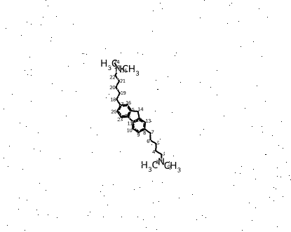 CN(C)CCCCCc1ccc2c(c1)Cc1cc(CCCCCN(C)C)ccc1-2